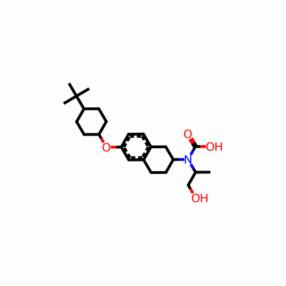 CC(CO)N(C(=O)O)C1CCc2cc(OC3CCC(C(C)(C)C)CC3)ccc2C1